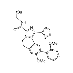 COc1ccccc1-c1cc2c(cc1OC)CCn1c(C(=O)NCC(C)(C)C)nc(-c3cccs3)c1-2